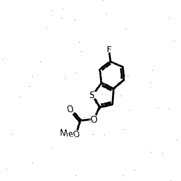 COC(=O)Oc1cc2ccc(F)cc2s1